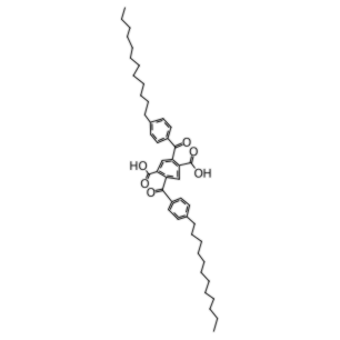 CCCCCCCCCCCCc1ccc(C(=O)c2cc(C(=O)O)c(C(=O)c3ccc(CCCCCCCCCCCC)cc3)cc2C(=O)O)cc1